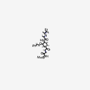 CC/C(C)=C(C)/N=C(\C)C(=O)NC1CCN(C(=O)/C=C/C(=O)NOC)CC1OCCC(C)C